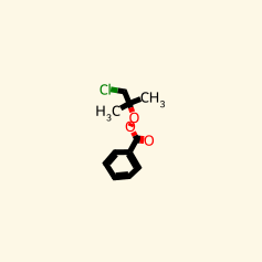 CC(C)(CCl)OOC(=O)c1ccccc1